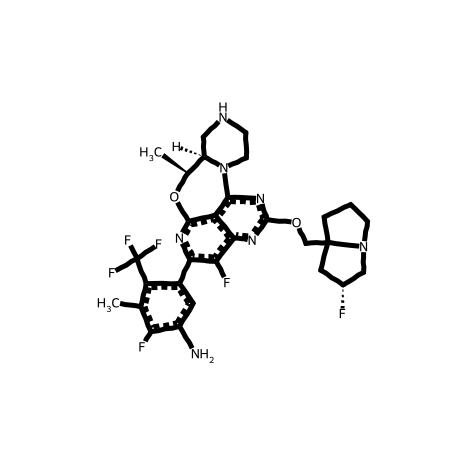 Cc1c(F)c(N)cc(-c2nc3c4c(nc(OCC56CCCN5C[C@H](F)C6)nc4c2F)N2CCNC[C@@H]2[C@H](C)O3)c1C(F)(F)F